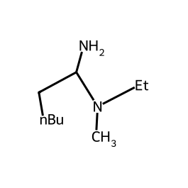 CCCCCC(N)N(C)CC